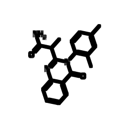 Cc1ccc(-n2c(C(C)C(N)=O)nc3ccccc3c2=O)c(C)c1